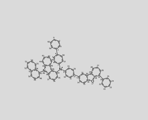 c1ccc(-c2ccc(N(c3ccc(-c4ccc5oc6c(-c7ccccc7)cccc6c5c4)cc3)c3cccc4c3c3ccccc3n4-c3cccc4ccccc34)cc2)cc1